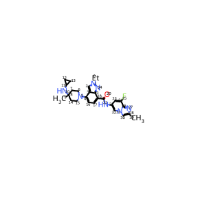 CCn1cc2c(N3CCC(C)(NC4CC4)CC3)ccc(C(=O)Nc3cc(F)c4nc(C)cn4c3)c2n1